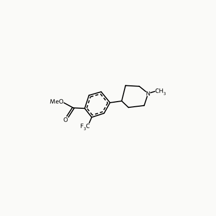 COC(=O)c1ccc(C2CCN(C)CC2)cc1C(F)(F)F